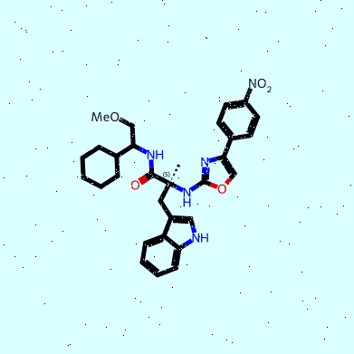 COCC(NC(=O)[C@](C)(Cc1c[nH]c2ccccc12)Nc1nc(-c2ccc([N+](=O)[O-])cc2)co1)C1CCCCC1